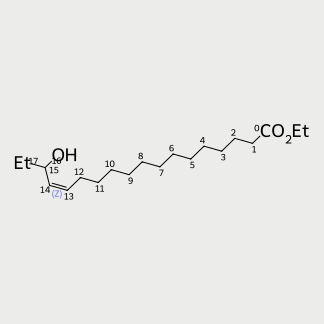 CCOC(=O)CCCCCCCCCCCC/C=C\C(O)CC